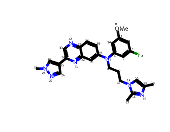 COc1cc(F)cc(N(CCCn2cc(C)nc2C)c2ccc3ncc(-c4cnn(C)c4)nc3c2)c1